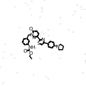 CCOC(=O)Nc1cccc(Cn2nc(-c3nc(-c4ccc(N5CCCC5)cc4)cs3)ccc2=O)c1